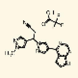 Cn1cc(C(CC#N)n2cc(-c3ncnc4[nH]ccc34)cn2)cn1.O=C(O)C(F)(F)F